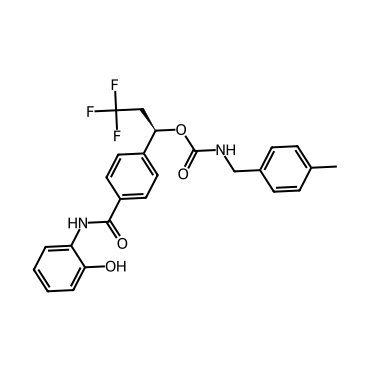 Cc1ccc(CNC(=O)O[C@H](CC(F)(F)F)c2ccc(C(=O)Nc3ccccc3O)cc2)cc1